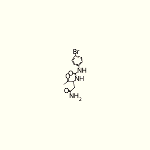 CC(=O)C(CC(N)=O)NC(=O)Nc1ccc(Br)cc1